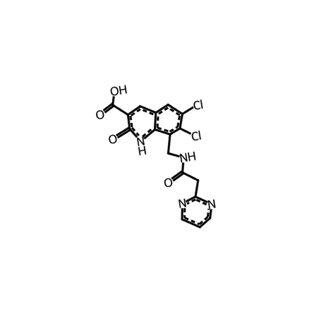 O=C(Cc1ncccn1)NCc1c(Cl)c(Cl)cc2cc(C(=O)O)c(=O)[nH]c12